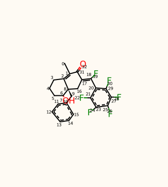 CC1=C2CCC[C@H](O)[C@@]2(Cc2ccccc2)CC(=C(F)c2c(F)c(F)c(F)c(F)c2F)C1=O